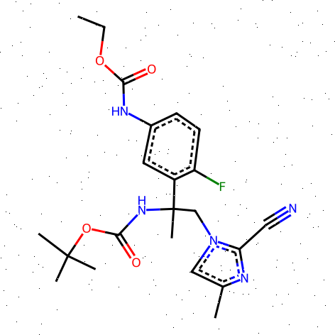 CCOC(=O)Nc1ccc(F)c(C(C)(Cn2cc(C)nc2C#N)NC(=O)OC(C)(C)C)c1